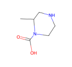 CC1CNCCN1C(=O)O